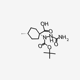 CC(C)(C)OC(=O)N(NC(N)=O)[C@]1(C(=O)O)CC[C@H](C)CC1